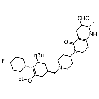 CCCC[C@H]1C[C@@H](CN2CCC(N3CCC4=C(CC(C=O)[C@H](C)N4)C3=O)CC2)CC(OCC)=C1[C@H]1CC[C@@H](F)CC1